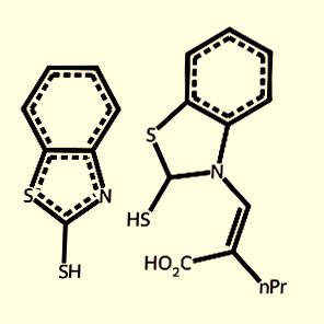 CCCC(=CN1c2ccccc2SC1S)C(=O)O.Sc1nc2ccccc2s1